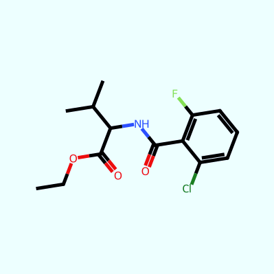 CCOC(=O)C(NC(=O)c1c(F)cccc1Cl)C(C)C